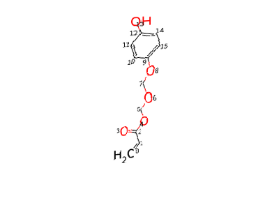 C=CC(=O)OCOCOc1ccc(O)cc1